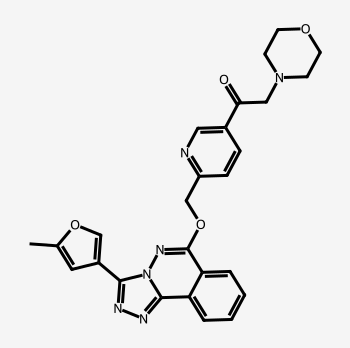 Cc1cc(-c2nnc3c4ccccc4c(OCc4ccc(C(=O)CN5CCOCC5)cn4)nn23)co1